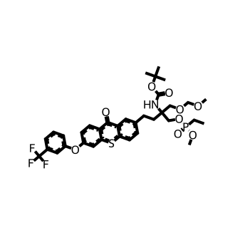 CCP(=O)(OC)OCC(CCc1ccc2sc3cc(Oc4cccc(C(F)(F)F)c4)ccc3c(=O)c2c1)(COCOC)NC(=O)OC(C)(C)C